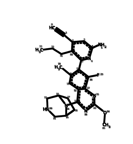 C#Cc1cc(N)nc(-c2c(C)cc3c(N4C5CCC4CNC5)nc(OC)nc3c2F)c1CCC